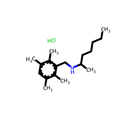 CCCCCC(C)NCc1c(C)c(C)cc(C)c1C.Cl